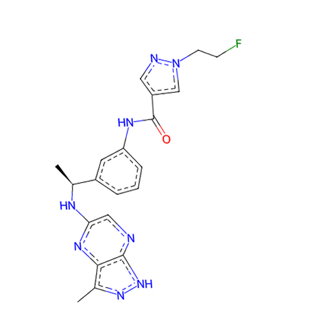 Cc1n[nH]c2ncc(N[C@@H](C)c3cccc(NC(=O)c4cnn(CCF)c4)c3)nc12